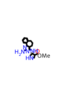 COC(=O)C1CNC[C@@H]1Nc1nc(N)nc2c1CCCc1ccccc1-2